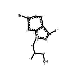 CC(CO)Cn1nc(I)c2ccc(Br)cc21